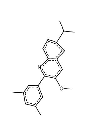 COc1cc2cc(C(C)C)ccc2nc1-c1cc(C)cc(C)c1